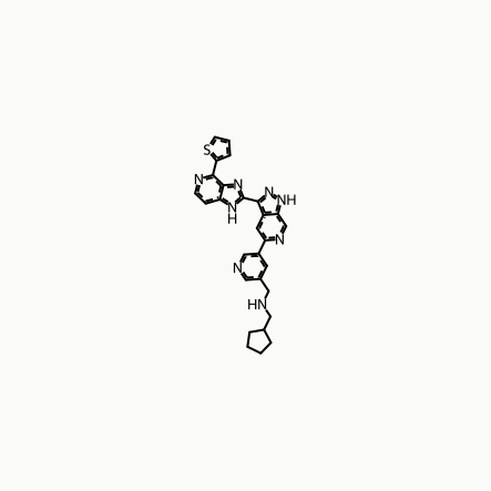 c1csc(-c2nccc3[nH]c(-c4n[nH]c5cnc(-c6cncc(CNCC7CCCC7)c6)cc45)nc23)c1